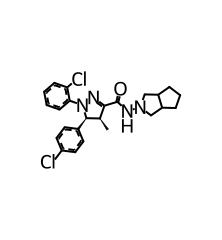 C[C@@H]1C(C(=O)NN2CC3CCCC3C2)=NN(c2ccccc2Cl)[C@@H]1c1ccc(Cl)cc1